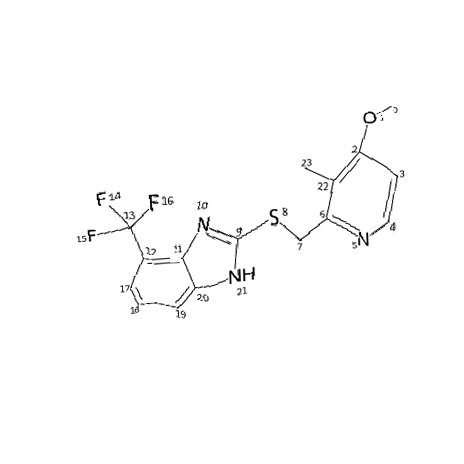 COc1ccnc(CSc2nc3c(C(F)(F)F)cccc3[nH]2)c1C